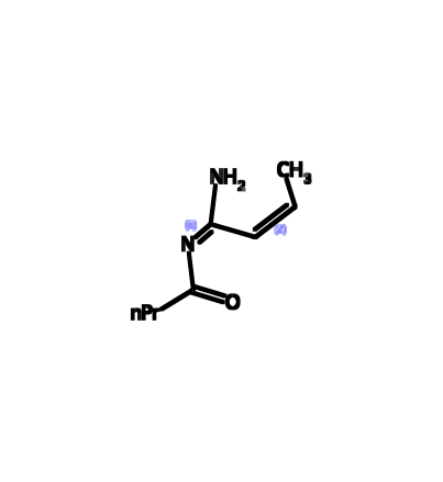 C/C=C\C(N)=N/C(=O)CCC